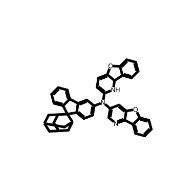 C1=C2Oc3ccccc3C2NC(N(c2ccc3c(c2)-c2ccccc2C32C3CC4CC(C3)CC2C4)c2cnc3c(c2)oc2ccccc23)=C1